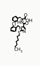 CCCCCCCSc1ncc(C(=O)N[C@@H](Cc2ccccc2)C(=O)O)n1Cc1ccccc1Cl